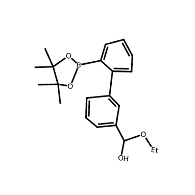 CCOC(O)c1cccc(-c2ccccc2B2OC(C)(C)C(C)(C)O2)c1